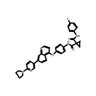 O=C(Nc1ccc(F)cc1)C1(C(=O)Nc2ccc(Oc3ccnc4cc(-c5ccc(N6CCCC6)nc5)ccc34)cc2)CC1